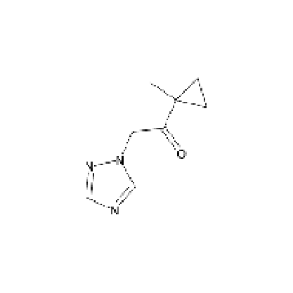 CC1(C(=O)Cn2cncn2)CC1